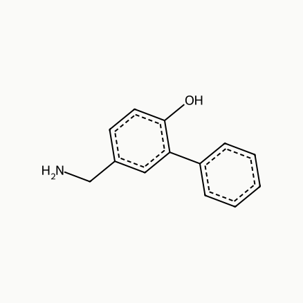 NCc1ccc(O)c(-c2ccccc2)c1